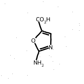 Nc1ncc(C(=O)O)o1